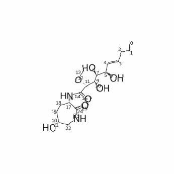 CCC/C=C/[C@@H](O)[C@H](O)[C@@H](O)[C@@H](OC)C(=O)N[C@H]1CC[C@@H](O)CNC1=O